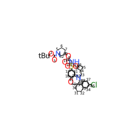 CC(C)(C)OC(=O)N1CCC[C@H](OC(=O)NS(=O)(=O)c2ccc3c(c2)N(CC2CCC2)CC2(CCCc4cc(Cl)ccc42)CO3)C1